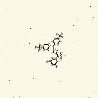 CS(=O)(=O)C(=C1CN(C(c2ccc(C(F)(F)F)cc2)c2ccc(C(F)(F)F)cc2)C1)c1cc(F)cc(F)c1